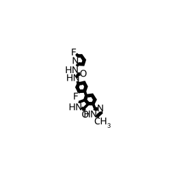 Cc1cnc(-c2ccc(-c3ccc(NC(=O)Nc4cccc(F)n4)cc3F)c3c2C(=O)NC3)[nH]1